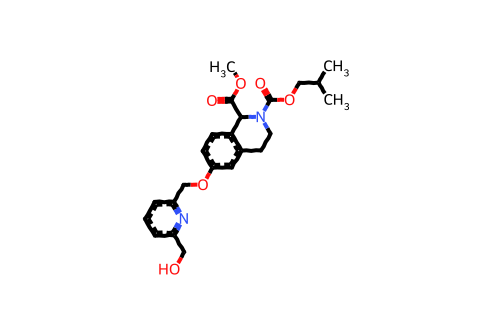 COC(=O)C1c2ccc(OCc3cccc(CO)n3)cc2CCN1C(=O)OCC(C)C